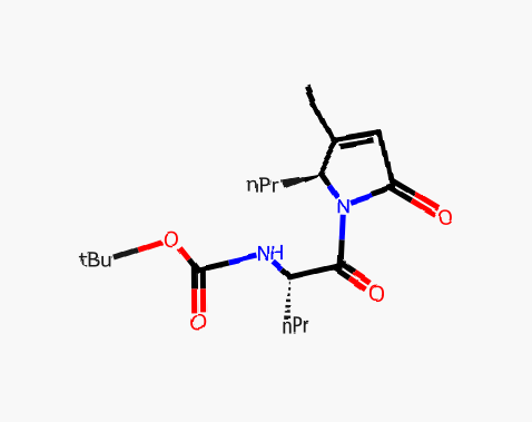 CCC[C@H](NC(=O)OC(C)(C)C)C(=O)N1C(=O)C=C(C)[C@@H]1CCC